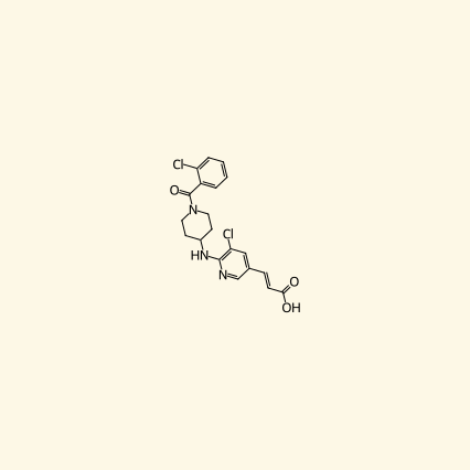 O=C(O)C=Cc1cnc(NC2CCN(C(=O)c3ccccc3Cl)CC2)c(Cl)c1